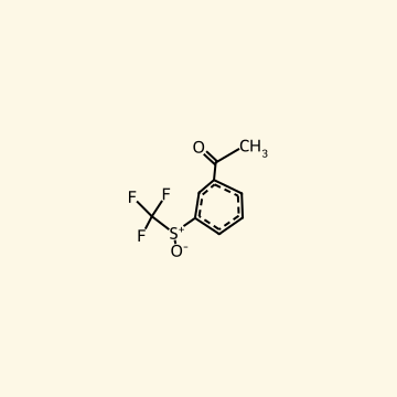 CC(=O)c1cccc([S+]([O-])C(F)(F)F)c1